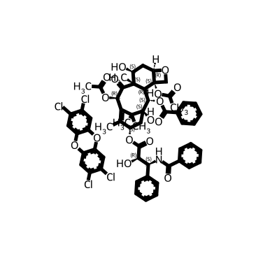 CC(=O)O[C@H]1C(=O)[C@@]2(C)[C@H]([C@H](OC(=O)c3ccccc3)[C@]3(O)C[C@H](OC(=O)[C@H](O)[C@@H](NC(=O)c4ccccc4)c4ccccc4)C(C)=C1C3(C)C)[C@]1(OC(C)=O)CO[C@@H]1C[C@@H]2O.Clc1cc2c(cc1Cl)Oc1cc(Cl)c(Cl)cc1O2